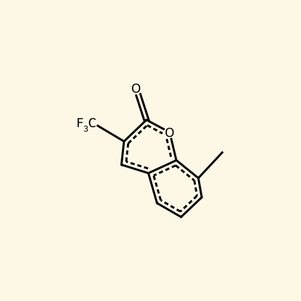 Cc1cccc2cc(C(F)(F)F)c(=O)oc12